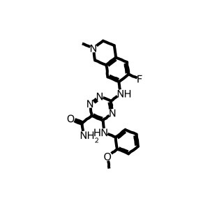 COc1ccccc1Nc1nc(Nc2cc3c(cc2F)CCN(C)C3)nnc1C(N)=O